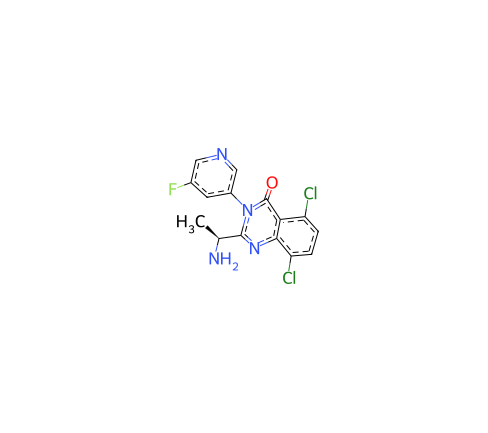 C[C@H](N)c1nc2c(Cl)ccc(Cl)c2c(=O)n1-c1cncc(F)c1